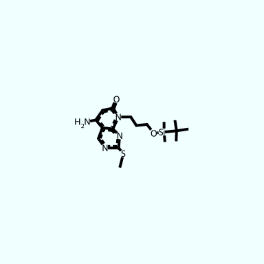 CSc1ncc2c(N)cc(=O)n(CCCO[Si](C)(C)C(C)(C)C)c2n1